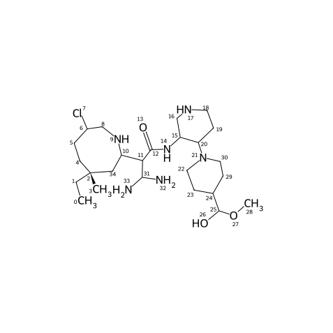 CC[C@]1(C)CCC(Cl)CNC(C(C(=O)NC2CNCCC2N2CCC(C(O)OC)CC2)C(N)N)C1